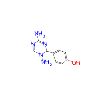 NC1=NC(c2ccc(O)cc2)N(N)C=N1